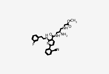 COC(=O)CNC[C@H](N)CNC(=O)c1ccc(-c2ccccc2C#N)nc1NCCc1cccc(F)c1